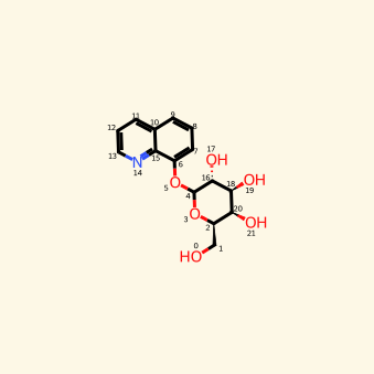 OC[C@H]1OC(Oc2cccc3cccnc23)[C@H](O)[C@@H](O)[C@H]1O